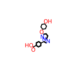 O=C(O)c1ccc(-c2cnc3ccc(O[C@H]4CC[C@H](O)CC4)nn23)cc1